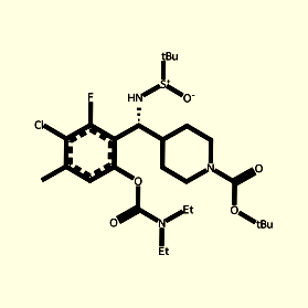 CCN(CC)C(=O)Oc1cc(C)c(Cl)c(F)c1[C@H](N[S+]([O-])C(C)(C)C)C1CCN(C(=O)OC(C)(C)C)CC1